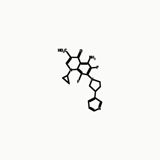 Nc1c(F)c(N2CCC(c3cccnc3)C2)c(F)c2c1c(=O)c(C(=O)O)cn2C1CC1